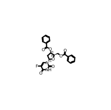 O=C(OC[C@H]1O[C@H](n2cc(F)c(=O)[nH]c2=O)C[C@H]1OC(=O)c1ccccc1)c1ccccc1